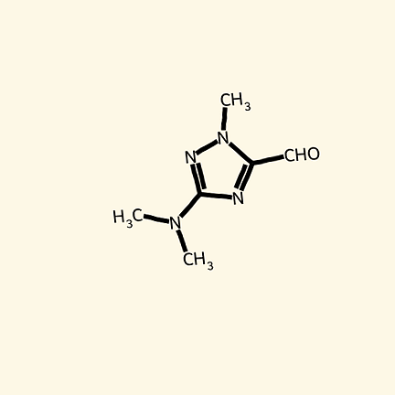 CN(C)c1nc(C=O)n(C)n1